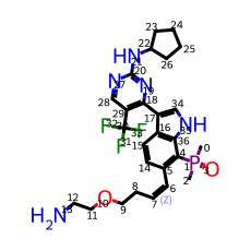 CP(C)(=O)c1c(/C=C\CCOCCN)ccc2c(-c3nc(NC4CCCC4)ncc3C(F)(F)F)c[nH]c12